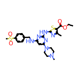 CCOC(=O)c1sc(Nc2nc(NCc3ccc(S(C)(=O)=O)cc3)cc(N3CCN(C)CC3)n2)nc1C